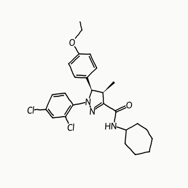 CCOc1ccc([C@H]2[C@@H](C)C(C(=O)NC3CCCCCC3)=NN2c2ccc(Cl)cc2Cl)cc1